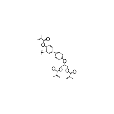 C=C(C)C(=O)OCC(COC(=O)C(=C)C)Oc1ccc(-c2ccc(OC(=O)C(=C)C)c(F)c2)cc1